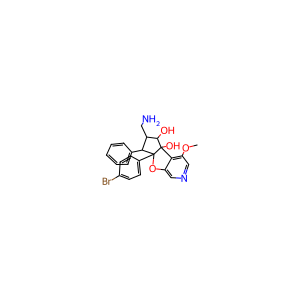 COc1cncc2c1C1(O)C(O)C(CN)C(c3ccccc3)C1(c1ccc(Br)cc1)O2